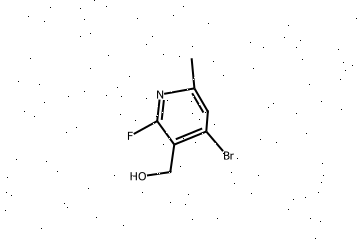 Cc1cc(Br)c(CO)c(F)n1